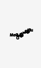 COC(=O)c1ccn(CCO[Si](C)(C)C(C)(C)C)c1